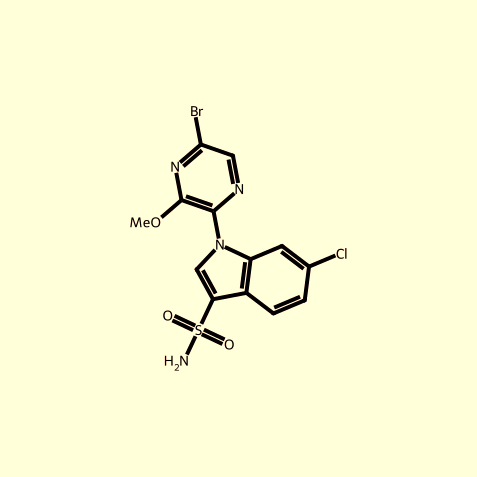 COc1nc(Br)cnc1-n1cc(S(N)(=O)=O)c2ccc(Cl)cc21